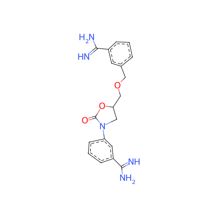 N=C(N)c1cccc(COCC2CN(c3cccc(C(=N)N)c3)C(=O)O2)c1